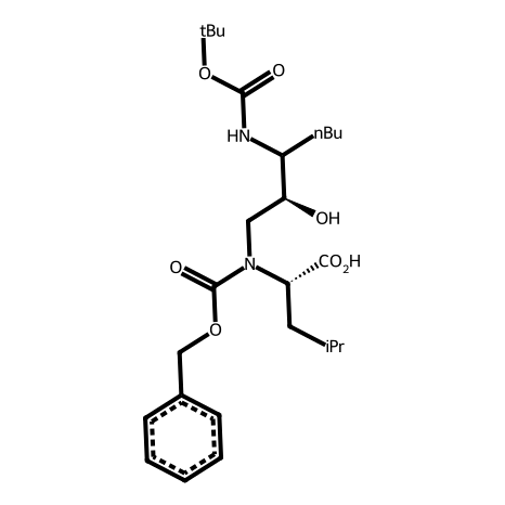 CCCCC(NC(=O)OC(C)(C)C)[C@@H](O)CN(C(=O)OCc1ccccc1)[C@@H](CC(C)C)C(=O)O